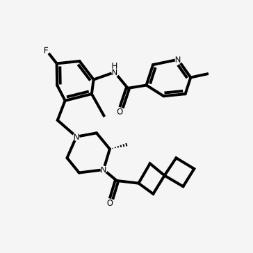 Cc1ccc(C(=O)Nc2cc(F)cc(CN3CCN(C(=O)C4CC5(CCC5)C4)[C@@H](C)C3)c2C)cn1